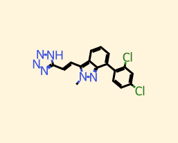 Cn1nc2c(-c3ccc(Cl)cc3Cl)cccc2c1C=Cc1nnn[nH]1